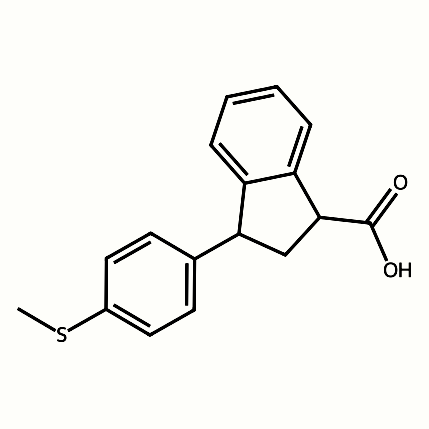 CSc1ccc(C2CC(C(=O)O)c3ccccc32)cc1